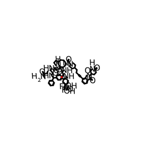 NC(=O)CC[C@H](NC(=O)[C@@H]1CC[C@@H]2CCN(C(=O)N3CCC(CCC#Cc4cccc5c4CN(C4CCC(=O)NC4=O)C5=O)CC3)C[C@H](NC(=O)c3cc4cc(C(F)(F)P(=O)(O)O)ccc4[nH]3)C(=O)N21)C(=O)NC(c1ccccc1)c1ccccc1